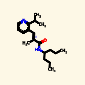 CCCC(CCC)NC(=O)/C(C)=C/c1cccnc1C(C)C